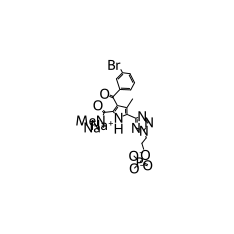 CNC(=O)c1[nH]c(-c2nnn(CCOP(=O)([O-])[O-])n2)c(C)c1C(=O)c1cccc(Br)c1.[Na+].[Na+]